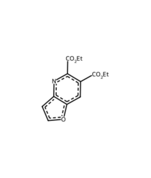 CCOC(=O)c1cc2occc2nc1C(=O)OCC